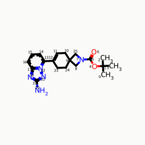 CC(C)(C)OC(=O)N1CC2(CC=C(c3cccc4nc(N)nn34)CC2)C1